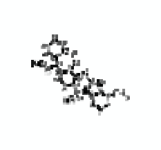 CCCc1nc2c(C)cccc2n1C(CCC)c1ccc2c(c1)CCc1ccccc1/C2=C\C#N